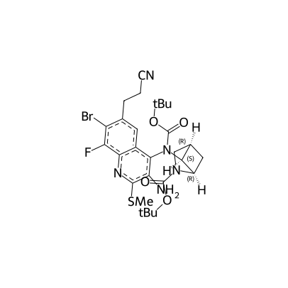 CSc1nc2c(F)c(Br)c(CCC#N)cc2c(N(C(=O)OC(C)(C)C)[C@H]2[C@@H]3C[C@H]2N(C(=O)OC(C)(C)C)C3)c1N